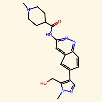 CN1CCC(C(=O)Nc2cc3cc(-c4cnn(C)c4CO)ccc3nn2)CC1